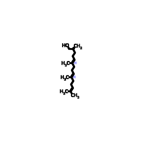 C=C(CO)CC/C=C(\C)CC/C=C(\C)CCC=C(C)C